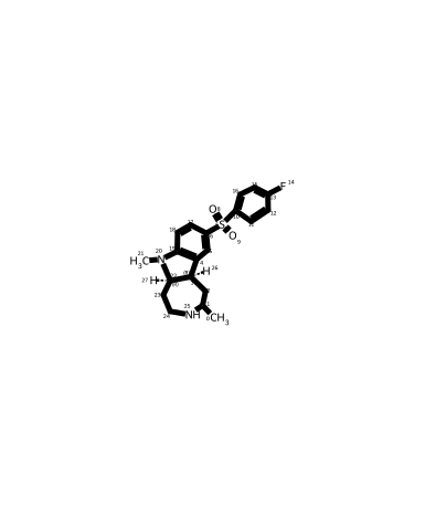 CC1C[C@@H]2c3cc(S(=O)(=O)c4ccc(F)cc4)ccc3N(C)[C@@H]2CCN1